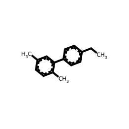 CCc1ccc(-c2cc(C)ccc2C)cc1